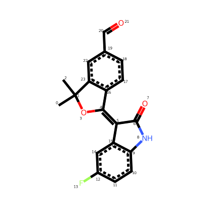 CC1(C)OC(=C2C(=O)Nc3ccc(F)cc32)c2ccc(C=O)cc21